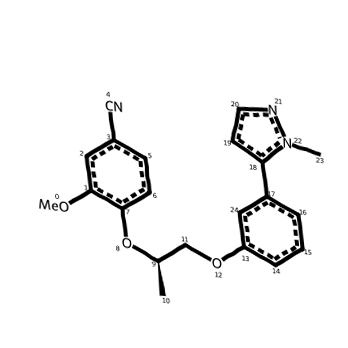 COc1cc(C#N)ccc1O[C@H](C)COc1cccc(-c2ccnn2C)c1